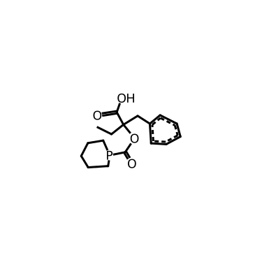 CCC(Cc1ccccc1)(OC(=O)P1CCCCC1)C(=O)O